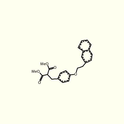 COC(=O)C(Cc1ccc(OCCc2ccc3ccccc3c2)cc1)C(=O)OC